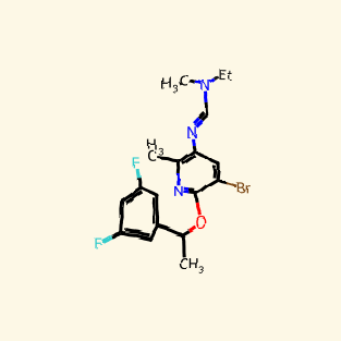 CCN(C)C=Nc1cc(Br)c(OC(C)c2cc(F)cc(F)c2)nc1C